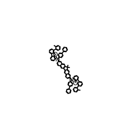 Cc1ccccc1-c1cccc2c1oc1c(N(c3ccc(-c4ccccc4)cc3)c3ccc4cc5c(cc4c3)C(C)(C)c3cc4cc(N(c6ccc(-c7ccccc7)cc6)c6cccc7c6oc6c(-c8ccccc8C)cccc67)ccc4cc3-5)cccc12